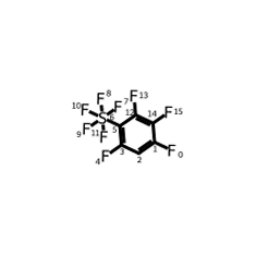 Fc1cc(F)c(S(F)(F)(F)(F)F)c(F)c1F